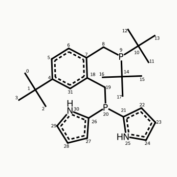 CC(C)(C)c1ccc(CP(C(C)(C)C)C(C)(C)C)c(CP(c2ccc[nH]2)c2ccc[nH]2)c1